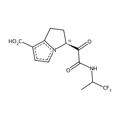 CC(NC(=O)C(=O)[C@@H]1CCc2c(C(=O)O)ccn21)C(F)(F)F